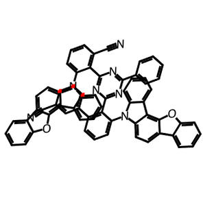 N#Cc1cccc(-c2cccc(-n3c4ccccc4c4c5oc6ccccc6c5ccc43)c2-c2nc(-c3ccccc3)nc(-c3c(C#N)cccc3-n3c4ccccc4c4c5oc6ccccc6c5ccc43)n2)c1